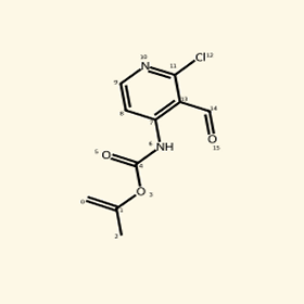 C=C(C)OC(=O)Nc1ccnc(Cl)c1C=O